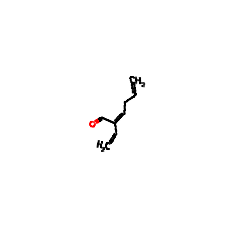 C=CCC=C(C=C)C=O